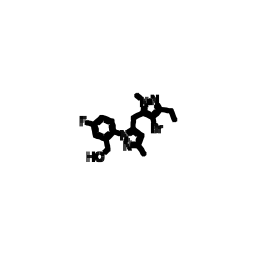 CCc1nn(C)c(Cc2cc(C)nn2-c2ccc(F)cc2CO)c1Br